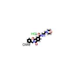 COc1ccccc1CN1C(=O)c2ccc(C(=O)NCCCN3CCOCC3)cc2C1=O.Cl